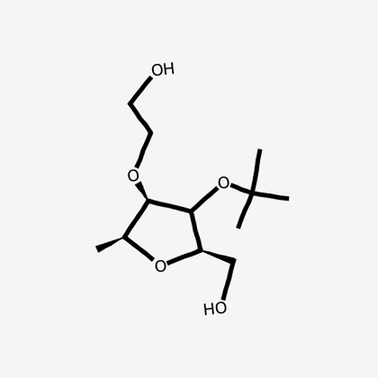 C[C@@H]1O[C@H](CO)C(OC(C)(C)C)[C@@H]1OCCO